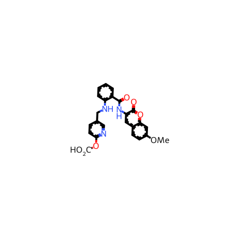 COc1ccc2cc(NC(=O)c3ccccc3NCc3ccc(OC(=O)O)nc3)c(=O)oc2c1